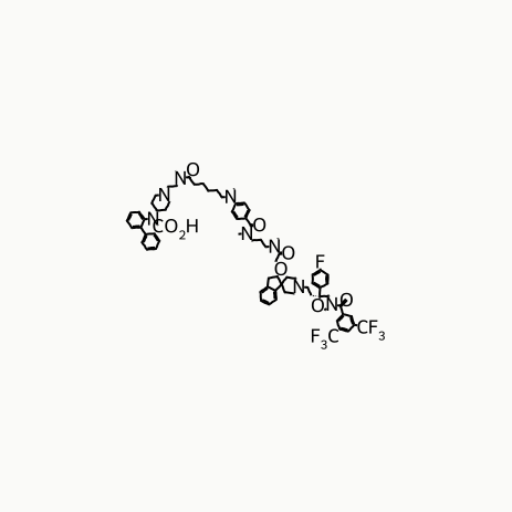 CN(CCN1CCC(N(C(=O)O)c2ccccc2-c2ccccc2)CC1)C(=O)CCCCCN(C)c1ccc(C(=O)N(C)CCCN(C)C(=O)CO[C@H]2Cc3ccccc3C23CCN(CC[C@]2(c4ccc(F)cc4)CN(C(=O)c4cc(C(F)(F)F)cc(C(F)(F)F)c4)CO2)CC3)cc1